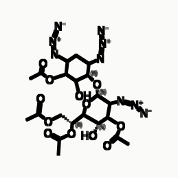 CC(=O)OC[C@@H](OC(C)=O)C1O[C@H](O[C@@H]2C(N=[N+]=[N-])CC(N=[N+]=[N-])C(OC(C)=O)C2O)C(N=[N+]=[N-])C(OC(C)=O)[C@@H]1O